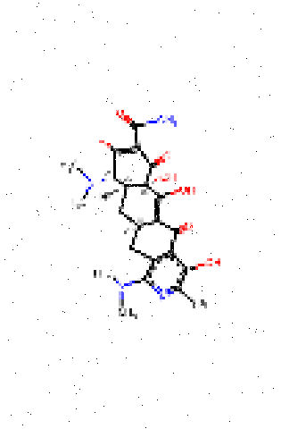 CCCc1nc(N(C)C)c2c(c1O)C(=O)C1=C(O)[C@]3(O)C(=O)C(C(N)=O)=C(O)[C@@H](N(C)C)[C@@H]3C[C@@H]1C2